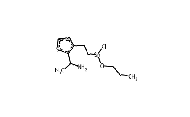 CCC[O][Sn]([Cl])[CH2]Cc1ccsc1C(C)N